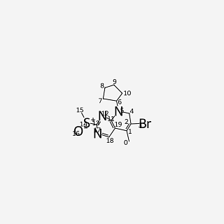 CC1=C(Br)CN(C2CCCC2)c2nc([S+](C)[O-])ncc21